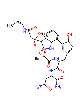 C/C=C\NC(=O)CC(O)(O)C1C(=O)NC2C(C3=CC(C[C@H](NC(=O)C(=O)[C@@H](C)CC)C(=O)NC(CC(N)=O)C(N)=O)=CCC3O)=CC=CC21C